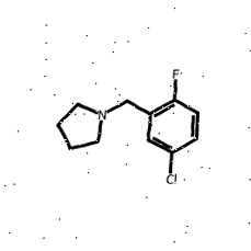 Fc1ccc(Cl)cc1CN1CCCC1